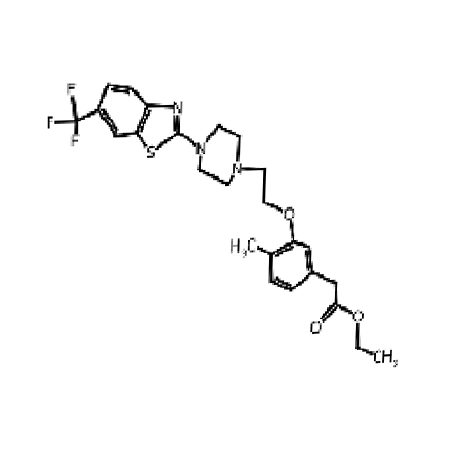 CCOC(=O)Cc1ccc(C)c(OCCN2CCN(c3nc4ccc(C(F)(F)F)cc4s3)CC2)c1